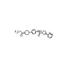 O=C(Nc1ccc(C2CCN(C(=O)CC(F)(F)F)CC2)cc1)C1CCN(c2cccnn2)C1